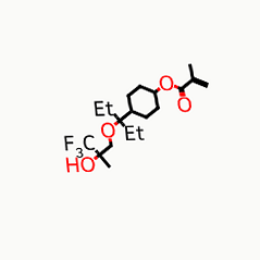 C=C(C)C(=O)OC1CCC(C(CC)(CC)OCC(C)(O)C(F)(F)F)CC1